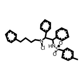 Cc1ccc(S(=O)(=O)NC(c2ccccc2)C(c2ccccc2)N(Cl)CCCCc2ccccc2)cc1